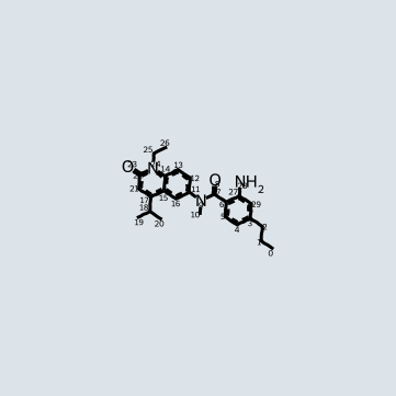 CCCc1ccc(C(=O)N(C)c2ccc3c(c2)c(C(C)C)cc(=O)n3CC)c(N)c1